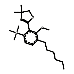 CCCCCCc1ccc([Si](C)(C)C)c(C2=NC(C)(C)CO2)c1SC